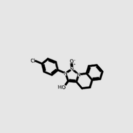 [O-][NH+]1N(c2ccc(Cl)cc2)C(O)=C2CCc3ccccc3N21